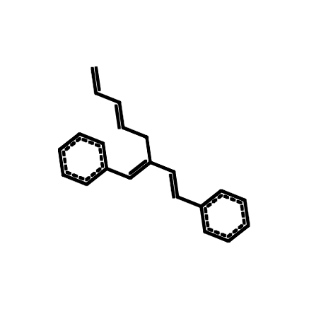 C=CC=CCC(C=Cc1ccccc1)=Cc1ccccc1